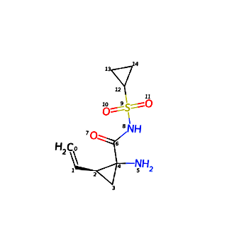 C=C[C@@H]1CC1(N)C(=O)NS(=O)(=O)C1CC1